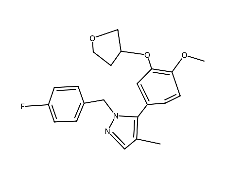 COc1ccc(-c2c(C)cnn2Cc2ccc(F)cc2)cc1OC1CCOC1